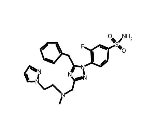 CN(CCn1cccn1)Cc1nc(Cc2ccccc2)n(-c2ccc(S(N)(=O)=O)cc2F)n1